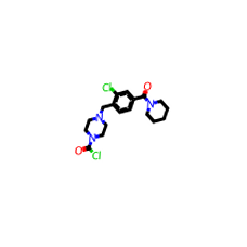 O=C(Cl)N1CCN(Cc2ccc(C(=O)N3CCCCC3)cc2Cl)CC1